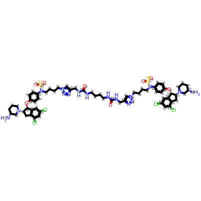 N[C@@H]1CCCN([C@H]2Cc3c(Cl)cc(Cl)cc3[C@@H]2Oc2ccc(N(CCCCn3cc(CNC(=O)NCCCCNC(=O)NCc4cn(CCCCN(c5ccc(O[C@H]6c7cc(Cl)cc(Cl)c7C[C@@H]6N6CCC[C@@H](N)C6)cc5)[SH](=O)=O)nn4)nn3)[SH](=O)=O)cc2)C1